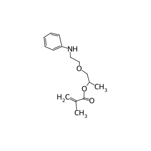 C=C(C)C(=O)OC(C)COCCNc1ccccc1